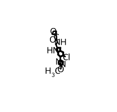 COc1cnc(-c2cc3[nH]c(CNC(=O)CC4COC4)cc3cc2Cl)cn1